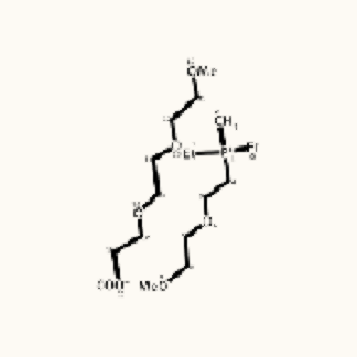 CC[P+](C)(CC)CCOCCOC.COCCOCCOCCC(=O)[O-]